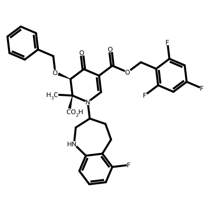 C[C@]1(C(=O)O)[C@@H](OCc2ccccc2)C(=O)C(C(=O)OCc2c(F)cc(F)cc2F)=CN1C1CCc2c(F)cccc2NC1